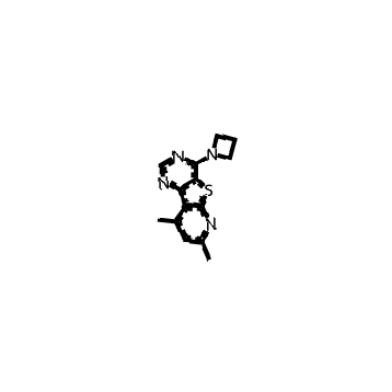 Cc1cc(C)c2c(n1)sc1c(N3CCC3)ncnc12